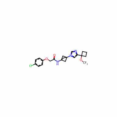 O=C(COc1ccc(Cl)cc1)NC12CC(n3cnc(C4(OC(F)(F)F)CCC4)c3)(C1)C2